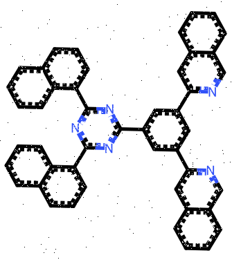 c1ccc2cc(-c3cc(-c4cc5ccccc5cn4)cc(-c4nc(-c5cccc6ccccc56)nc(-c5cccc6ccccc56)n4)c3)ncc2c1